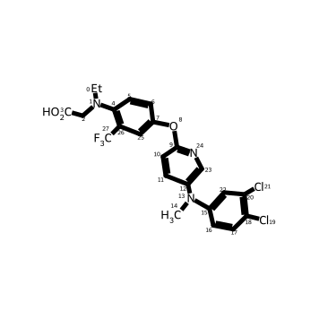 CCN(CC(=O)O)c1ccc(Oc2ccc(N(C)c3ccc(Cl)c(Cl)c3)cn2)cc1C(F)(F)F